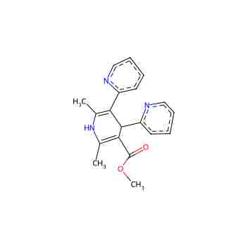 COC(=O)C1=C(C)NC(C)=C(c2ccccn2)C1c1ccccn1